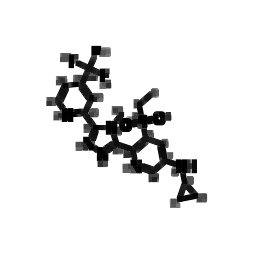 CCS(=O)(=O)c1cc(NC2CC2)cnc1-c1nnc(-c2cc(C(F)(F)F)ccn2)n1C